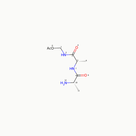 CC(=O)OCNC(=O)[C@H](C)NC(=O)[C@H](C)N